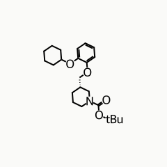 CC(C)(C)OC(=O)N1CCC[C@H](COc2ccccc2OC2CCCCC2)C1